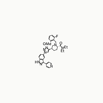 CCN(CC)C(=O)[C@@H]1CC[C@@H](c2cn(-c3ccc4[nH]nc(-c5ccncc5)c4c3)nn2)CN1Cc1c(F)cccc1OC